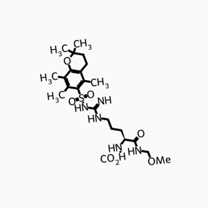 COCNC(=O)[C@H](CCCNC(=N)NS(=O)(=O)c1c(C)c(C)c2c(c1C)CCC(C)(C)O2)NC(=O)O